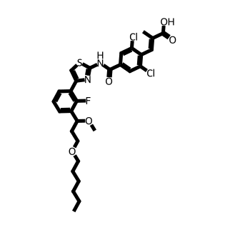 CCCCCCOCCC(OC)c1cccc(-c2csc(NC(=O)c3cc(Cl)c(C=C(C)C(=O)O)c(Cl)c3)n2)c1F